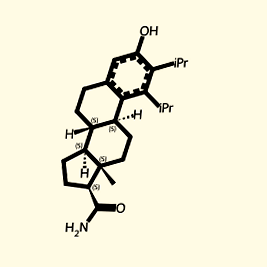 CC(C)c1c(O)cc2c(c1C(C)C)[C@H]1CC[C@]3(C)[C@@H](C(N)=O)CC[C@H]3[C@@H]1CC2